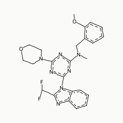 COc1ccccc1CN(C)c1nc(N2CCOCC2)nc(-n2c(C(F)F)nc3ccccc32)n1